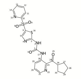 O=C(Nc1ncc(S(=O)(=O)c2ccccn2)s1)Nc1cccnc1C(=O)C1CCCC1